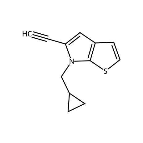 C#Cc1cc2ccsc2n1CC1CC1